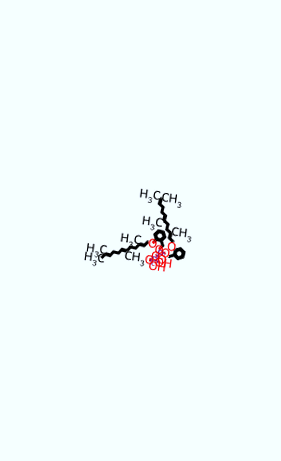 CC(C)=CCC/C=C(\C)CC/C(C)=C/COc1ccccc1COP(=O)(OCc1ccccc1OC/C=C(\C)CC/C(C)=C/CCC=C(C)C)OP(=O)(O)O